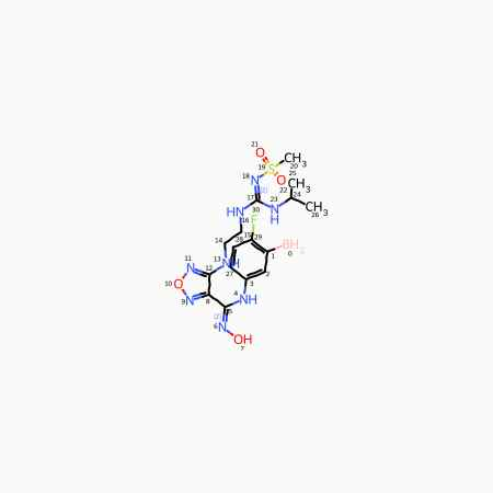 Bc1cc(N/C(=N\O)c2nonc2NCCN/C(=N/S(C)(=O)=O)NC(C)C)ccc1F